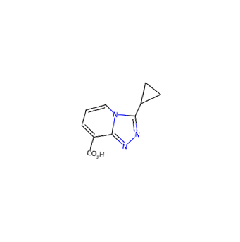 O=C(O)c1cccn2c(C3CC3)nnc12